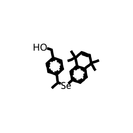 CC([Se]c1ccc2c(c1)C(C)(C)C=CC2(C)C)c1ccc(CO)cc1